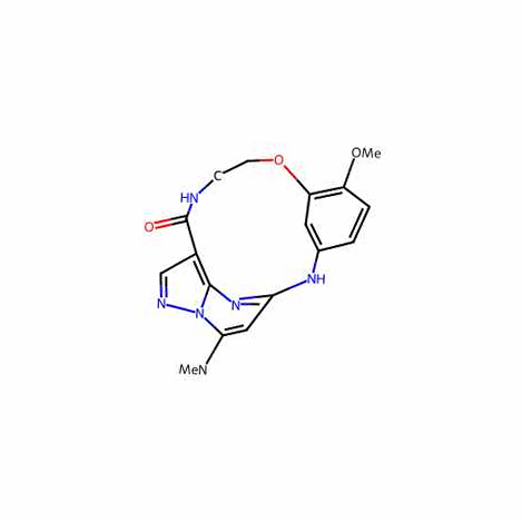 CNc1cc2nc3c(cnn13)C(=O)NCCOc1cc(ccc1OC)N2